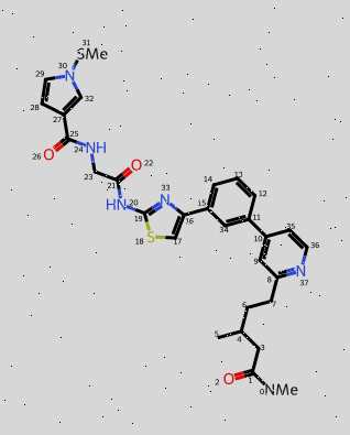 CNC(=O)CC(C)CCc1cc(-c2cccc(-c3csc(NC(=O)CNC(=O)c4ccn(SC)c4)n3)c2)ccn1